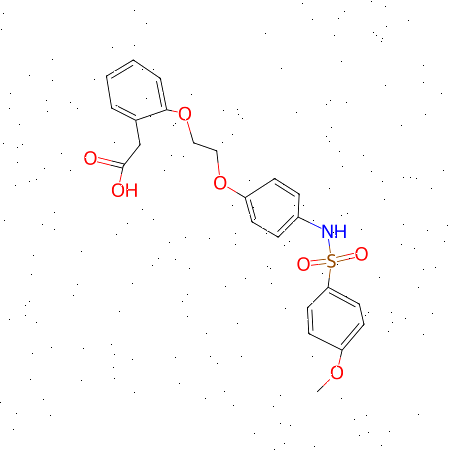 COc1ccc(S(=O)(=O)Nc2ccc(OCCOc3ccccc3CC(=O)O)cc2)cc1